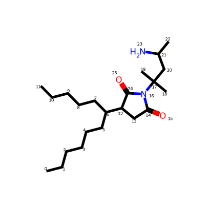 CCCCCCC(CCCCC)C1CC(=O)N(C(C)(C)CC(C)N)C1=O